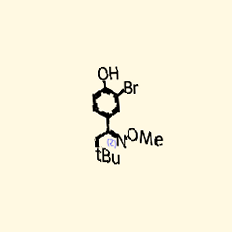 CO/N=C(/CC(C)(C)C)c1ccc(O)c(Br)c1